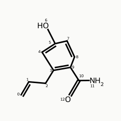 C=CCc1cc(O)ccc1C(N)=O